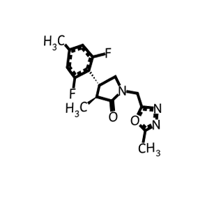 Cc1cc(F)c([C@@H]2CN(Cc3nnc(C)o3)C(=O)[C@H]2C)c(F)c1